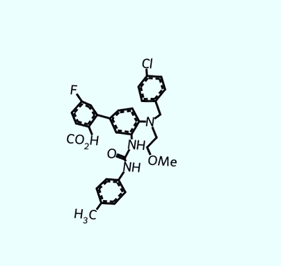 COCCN(Cc1ccc(Cl)cc1)c1ccc(-c2cc(F)ccc2C(=O)O)cc1NC(=O)Nc1ccc(C)cc1